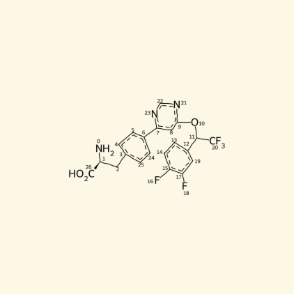 N[C@@H](Cc1ccc(-c2cc(OC(c3ccc(F)c(F)c3)C(F)(F)F)ncn2)cc1)C(=O)O